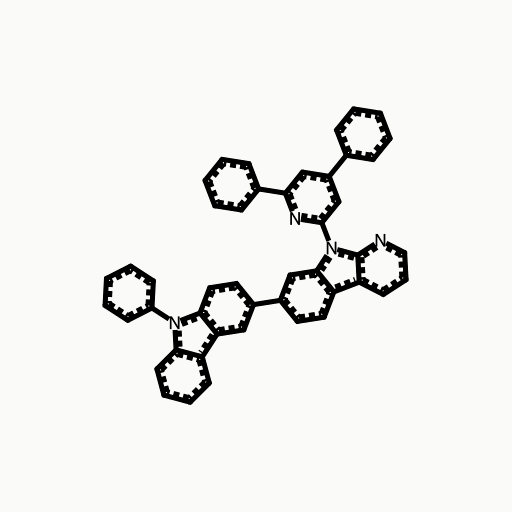 c1ccc(-c2cc(-c3ccccc3)nc(-n3c4cc(-c5ccc6c(c5)c5ccccc5n6-c5ccccc5)ccc4c4cccnc43)c2)cc1